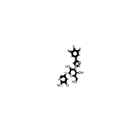 N#Cc1ncc(S[C@H]2OC(CO)[C@H](O)[C@H](n3cc(-c4cc(F)c(F)c(F)c4)nn3)C2O)cc1Cl